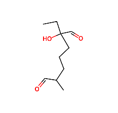 CCC(O)(C=O)CCCC(C)C=O